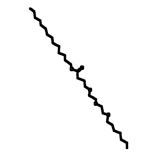 CCCCCCCCCCCCCCOC(=O)CCCOCCOCCOCCCCCCC